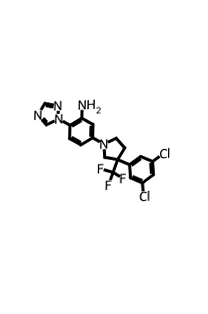 Nc1cc(N2CCC(c3cc(Cl)cc(Cl)c3)(C(F)(F)F)C2)ccc1-n1cncn1